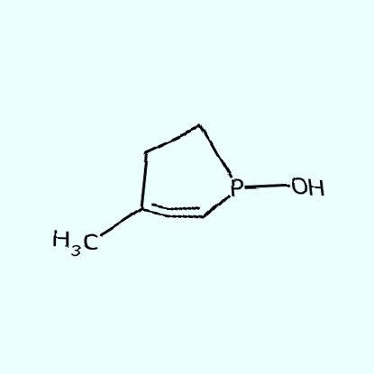 CC1=CP(O)CC1